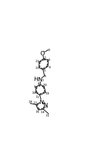 COc1ccc(CNc2ccc(-n3nc(C)cc3C)cc2)cc1